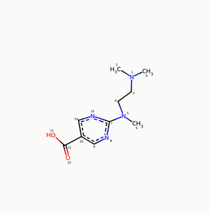 CN(C)CCN(C)c1ncc(C(=O)O)cn1